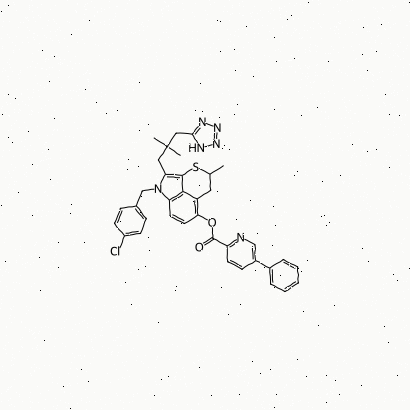 CC1Cc2c(OC(=O)c3ccc(-c4ccccc4)cn3)ccc3c2c(c(CC(C)(C)Cc2nnn[nH]2)n3Cc2ccc(Cl)cc2)S1